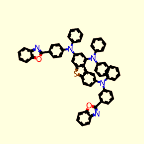 c1ccc(N(c2ccc(-c3nc4ccccc4o3)cc2)c2cc(N(c3ccccc3)c3ccccc3)c3c(c2)sc2ccc(N(c4ccccc4)c4cccc(-c5nc6ccccc6o5)c4)cc23)cc1